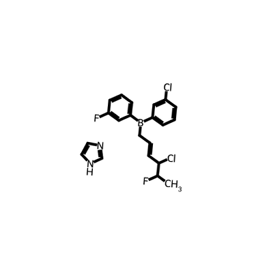 CC(F)C(Cl)C=CCB(c1cccc(F)c1)c1cccc(Cl)c1.c1c[nH]cn1